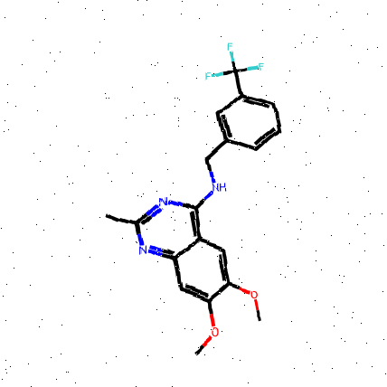 COc1cc2nc(C)nc(NCc3cccc(C(F)(F)F)c3)c2cc1OC